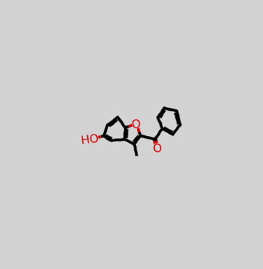 Cc1c(C(=O)c2ccccc2)oc2ccc(O)cc12